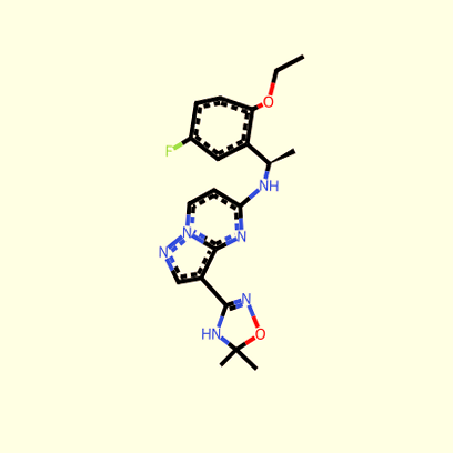 CCOc1ccc(F)cc1[C@@H](C)Nc1ccn2ncc(C3=NOC(C)(C)N3)c2n1